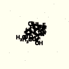 COc1ccc(F)c([C@@H]2S[C@@H](CC(=O)O)c3nnc(C(F)(F)F)n3-c3ccc(Cl)cc32)c1OC